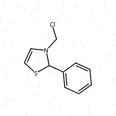 ClCN1C=CSC1c1ccccc1